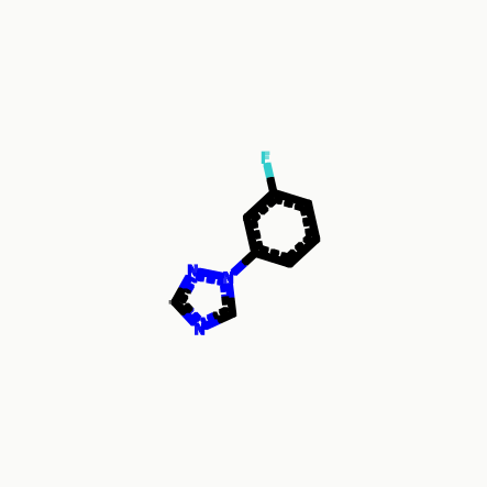 Fc1cccc(-n2cn[c]n2)c1